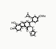 COc1ccc(-c2nc3sc4c(O)c(Cl)ccc4c3c(=O)n2Cc2ccno2)c(C2CC2)c1